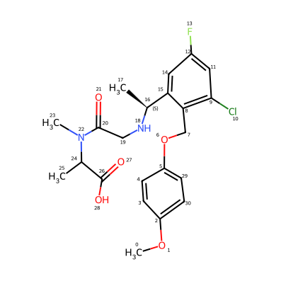 COc1ccc(OCc2c(Cl)cc(F)cc2[C@H](C)NCC(=O)N(C)C(C)C(=O)O)cc1